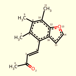 CC(=O)C=Cc1c(C)c(C)c(C)c2occc12